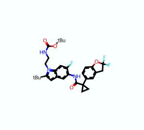 CC(C)(C)OC(=O)NCCn1c(C(C)(C)C)cc2cc(NC(=O)C3(c4ccc5c(c4)CC(F)(F)O5)CC3)c(F)cc21